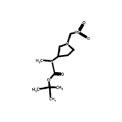 CN(C(=O)OC(C)(C)C)C1CCN(C[SH](=O)=O)C1